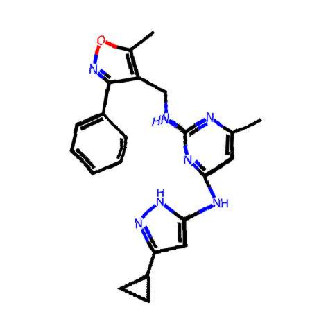 Cc1cc(Nc2cc(C3CC3)n[nH]2)nc(NCc2c(-c3ccccc3)noc2C)n1